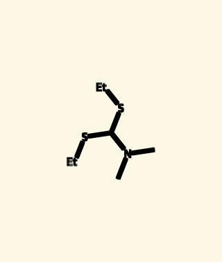 CCSC(SCC)N(C)C